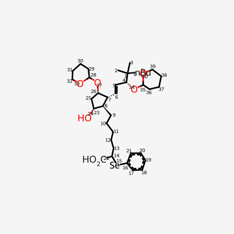 CCCCC(C)(C)[C@@H](/C=C/[C@@H]1[C@@H](CCCCCC([Se]c2ccccc2)C(=O)O)[C@@H](O)C[C@H]1OC1CCCCO1)OC1CCCCO1